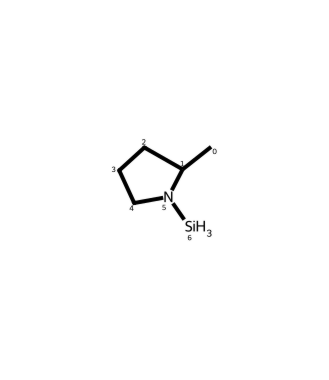 CC1CCCN1[SiH3]